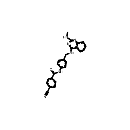 CNc1nc(NCc2ccc(NC(=O)c3ccc(C#N)cc3)cc2)c2ccccc2n1